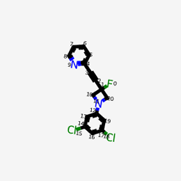 FC1(C#Cc2ccccn2)CN(c2cc(Cl)cc(Cl)c2)C1